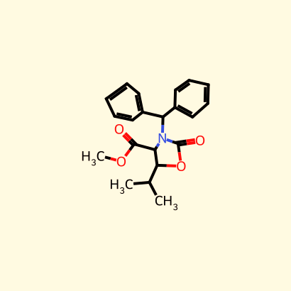 COC(=O)C1C(C(C)C)OC(=O)N1C(c1ccccc1)c1ccccc1